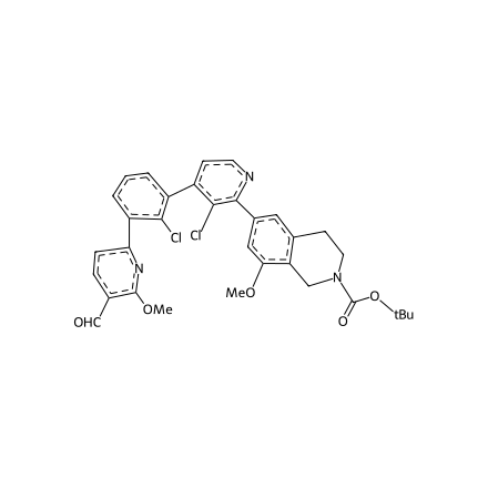 COc1cc(-c2nccc(-c3cccc(-c4ccc(C=O)c(OC)n4)c3Cl)c2Cl)cc2c1CN(C(=O)OC(C)(C)C)CC2